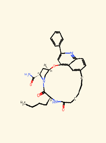 CCCC[C@@H]1NC(=O)CCCCCc2ccc3nc(-c4ccccc4)cc(c3c2)O[C@@H]2C[C@@H](C(N)=O)N(C2)C1=O